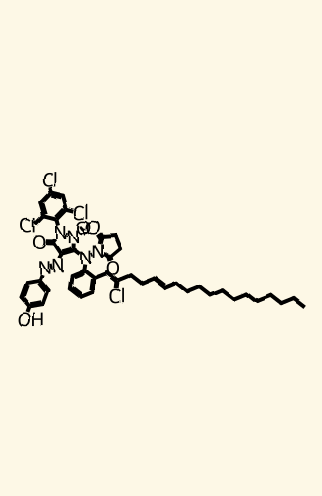 CCCCCCCCCCCCC=CCCC(Cl)Cc1ccccc1N(C1=C(N=Nc2ccc(O)cc2)C(=O)N(c2c(Cl)cc(Cl)cc2Cl)[N+]1=O)N1C(=O)CCC1=O